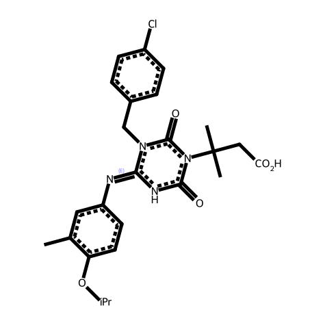 Cc1cc(/N=c2\[nH]c(=O)n(C(C)(C)CC(=O)O)c(=O)n2Cc2ccc(Cl)cc2)ccc1OC(C)C